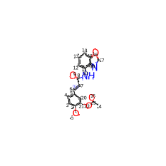 COc1ccc(/C=C/C(=O)Nc2cccc3ocnc23)cc1OC(C)=O